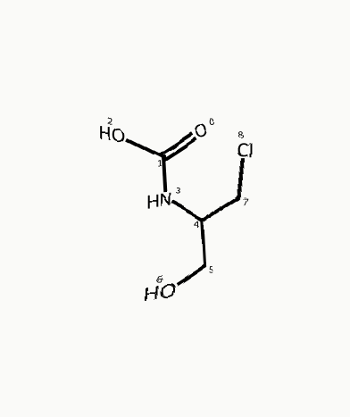 O=C(O)NC(CO)CCl